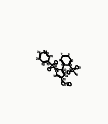 CS(=O)(=O)c1ccccc1-c1cc(C=O)cn1S(=O)(=O)c1cccnc1